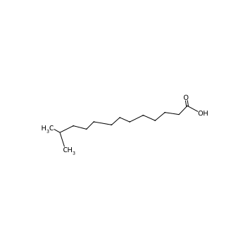 CC(C)CCCCCCCCCCC(=O)O